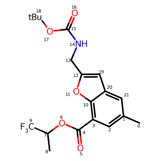 Cc1cc(C(=O)OC(C)C(F)(F)F)c2oc(CNC(=O)OC(C)(C)C)cc2c1